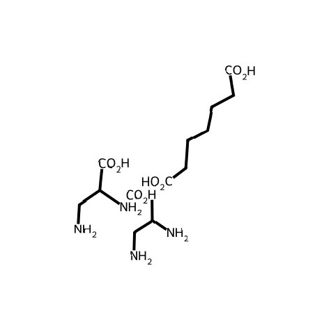 NCC(N)C(=O)O.NCC(N)C(=O)O.O=C(O)CCCCCC(=O)O